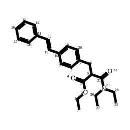 CCOC(=O)C(Cc1ccc(/C=C/c2ccccc2)cc1)C(=O)N(CC)CC